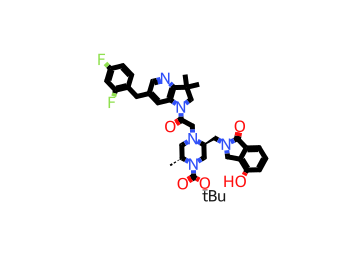 C[C@@H]1CN(CC(=O)N2CC(C)(C)c3ncc(Cc4ccc(F)cc4F)cc32)[C@@H](CN2Cc3c(O)cccc3C2=O)CN1C(=O)OC(C)(C)C